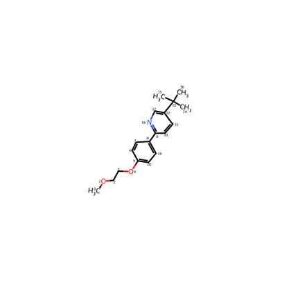 COCCOc1ccc(-c2ccc(C(C)(C)C)cn2)cc1